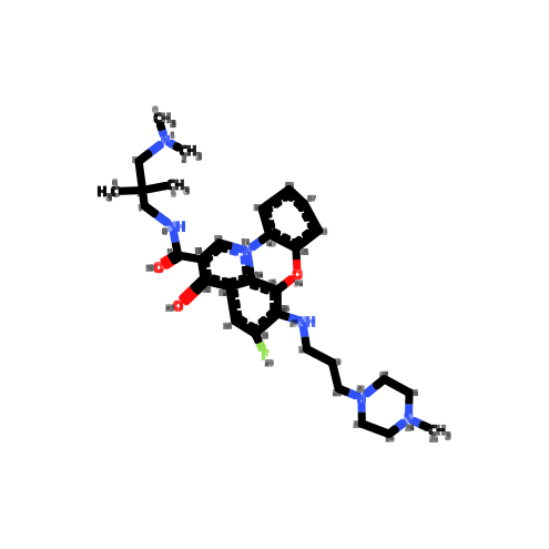 CN(C)CC(C)(C)CNC(=O)c1cn2c3c(c(NCCCN4CCN(C)CC4)c(F)cc3c1=O)Oc1ccccc1-2